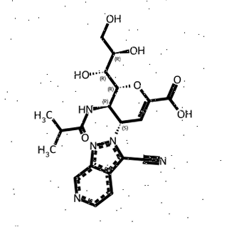 CC(C)C(=O)N[C@H]1[C@H]([C@H](O)[C@H](O)CO)OC(C(=O)O)=C[C@@H]1n1nc2cnccc2c1C#N